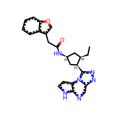 CC[C@@H]1C[C@H](NC(=O)Cc2coc3ccccc23)C[C@@H]1c1nnc2cnc3[nH]ccc3n12